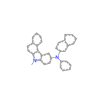 Cn1c2ccc(N(c3ccccc3)c3ccc4ccccc4c3)cc2c2c3ccccc3ccc21